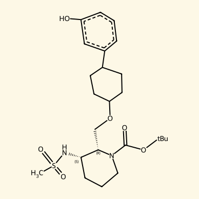 CC(C)(C)OC(=O)N1CCC[C@H](NS(C)(=O)=O)[C@@H]1COC1CCC(c2cccc(O)c2)CC1